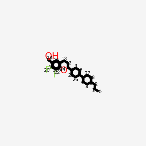 CCCC1CCC(C2CCC(C3CCc4cc(CO)c(F)c(F)c4O3)CC2)CC1